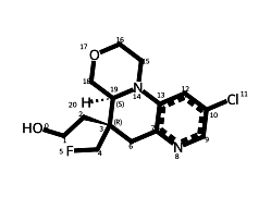 OCC[C@]1(CF)Cc2ncc(Cl)cc2N2CCOC[C@@H]21